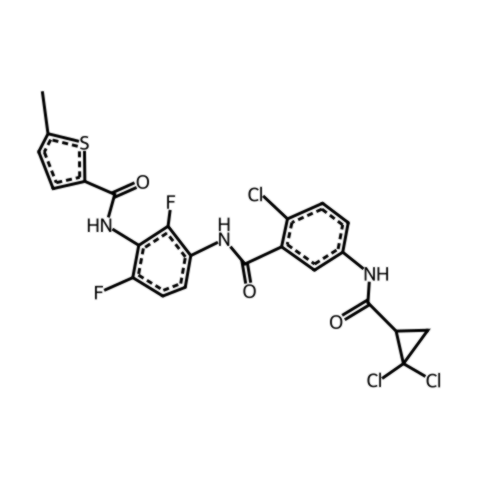 Cc1ccc(C(=O)Nc2c(F)ccc(NC(=O)c3cc(NC(=O)C4CC4(Cl)Cl)ccc3Cl)c2F)s1